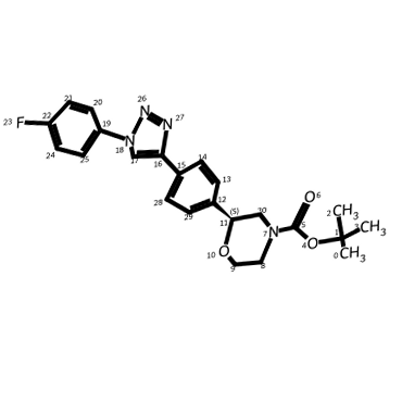 CC(C)(C)OC(=O)N1CCO[C@@H](c2ccc(-c3cn(-c4ccc(F)cc4)nn3)cc2)C1